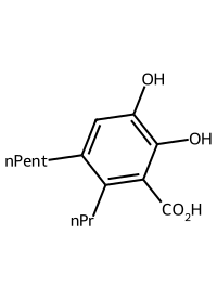 CCCCCc1cc(O)c(O)c(C(=O)O)c1CCC